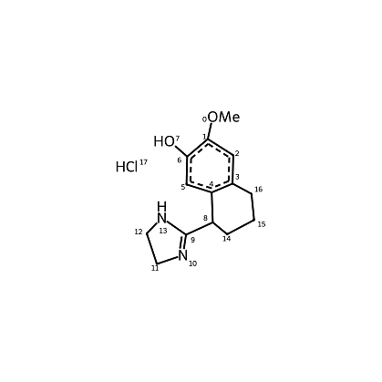 COc1cc2c(cc1O)C(C1=NCCN1)CCC2.Cl